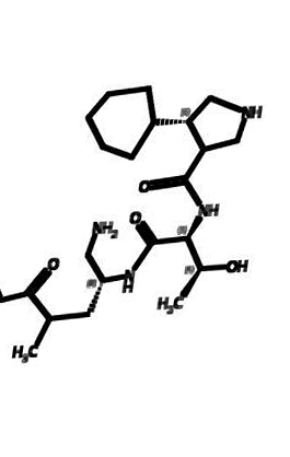 CCC(=O)C(C)C[C@H](CN)NC(=O)[C@@H](NC(=O)C1CNC[C@H]1C1CCCCC1)[C@H](C)O